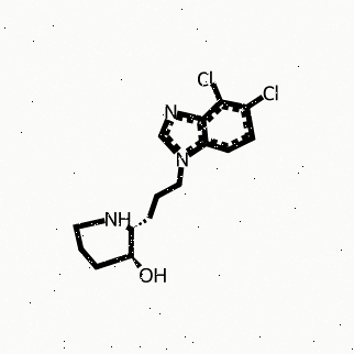 O[C@H]1CCCN[C@@H]1CCCn1cnc2c(Cl)c(Cl)ccc21